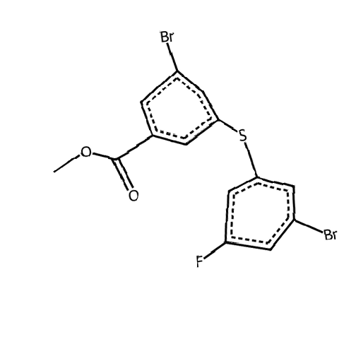 COC(=O)c1cc(Br)cc(Sc2cc(F)cc(Br)c2)c1